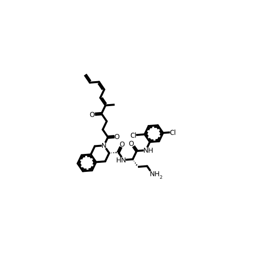 C=C/C=C\C=C(/C)C(=O)CCC(=O)N1Cc2ccccc2C[C@H]1C(=O)N[C@@H](CCN)C(=O)Nc1cc(Cl)ccc1Cl